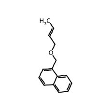 CC=CCOCc1cccc2ccccc12